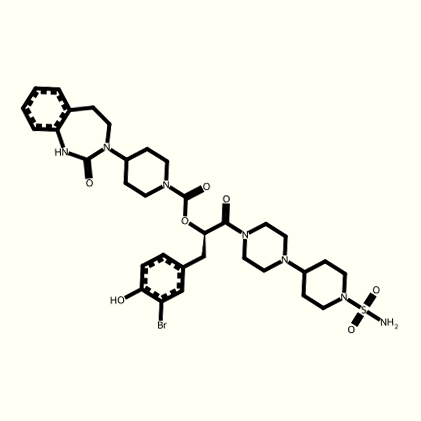 NS(=O)(=O)N1CCC(N2CCN(C(=O)[C@@H](Cc3ccc(O)c(Br)c3)OC(=O)N3CCC(N4CCc5ccccc5NC4=O)CC3)CC2)CC1